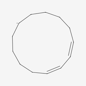 [CH]1CCCCC=CC=CCCCC1